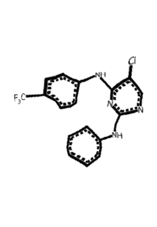 FC(F)(F)c1ccc(Nc2nc(Nc3ccccc3)ncc2Cl)cc1